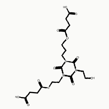 O=C(O)CCC(=O)OCCCn1c(=O)n(CCO)c(=O)n(CCOC(=O)CCC(=O)O)c1=O